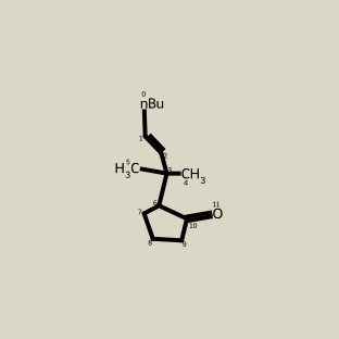 CCCC/C=C/C(C)(C)C1CCCC1=O